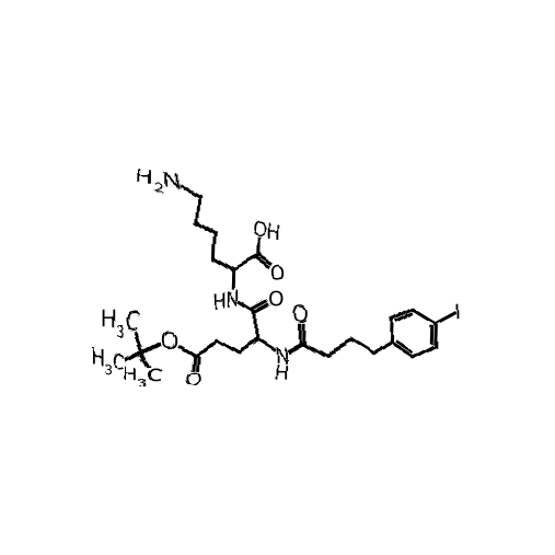 CC(C)(C)OC(=O)CCC(NC(=O)CCCc1ccc(I)cc1)C(=O)NC(CCCCN)C(=O)O